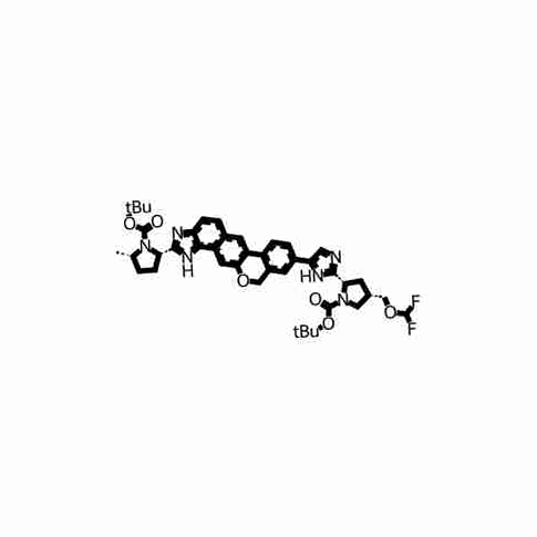 C[C@H]1CC[C@@H](c2nc3ccc4cc5c(cc4c3[nH]2)OCc2cc(-c3cnc([C@@H]4C[C@H](COC(F)F)CN4C(=O)OC(C)(C)C)[nH]3)ccc2-5)N1C(=O)OC(C)(C)C